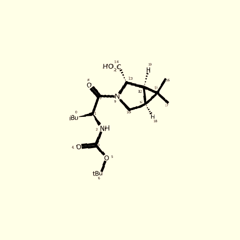 CC[C@H](C)[C@H](NC(=O)OC(C)(C)C)C(=O)N1C[C@H]2[C@@H]([C@H]1C(=O)O)C2(C)C